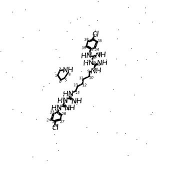 C1CCNCC1.N=C(NCCCCCCNC(=N)NC(=N)Nc1ccc(Cl)cc1)NC(=N)Nc1ccc(Cl)cc1